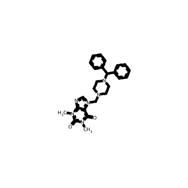 Cn1c(=O)c2c(ncn2CN2CCN(C(c3ccccc3)c3ccccc3)CC2)n(C)c1=O